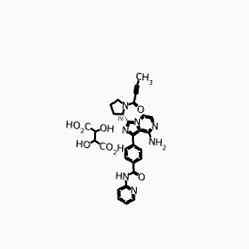 CC#CC(=O)N1CCC[C@H]1c1nc(-c2ccc(C(=O)Nc3ccccn3)cc2)c2c(N)nccn12.O=C(O)C(O)C(O)C(=O)O